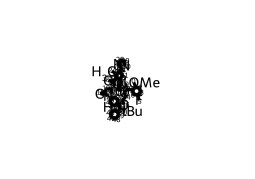 COc1ccc(F)cc1[C@H](Cn1c(=O)n([C@H]2CNC(=O)C2)c(=O)c2c(C)c(-n3nccn3)sc21)OCCO[Si](c1ccccc1)(c1ccccc1)C(C)(C)C